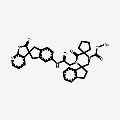 CC(C)(C)OC(=O)N1CC2(CCc3ccccc32)N(CC(=O)Nc2ccc3c(c2)CC2(C3)C(=O)Nc3ncccc32)C(=O)C12CCCC2